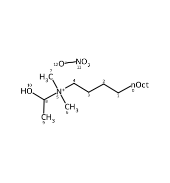 CCCCCCCCCCCC[N+](C)(C)C(C)O.O=[N+]([O-])[O-]